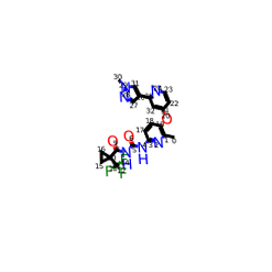 Cc1nc(NC(=O)NC(=O)C2(C(F)(F)F)CC2)ccc1Oc1ccnc(-c2cnn(C)c2)c1